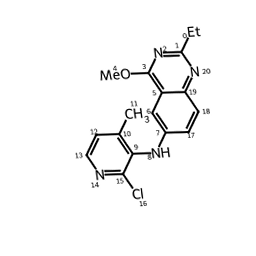 CCc1nc(OC)c2cc(Nc3c(C)ccnc3Cl)ccc2n1